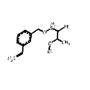 C=Cc1cccc(CO[SiH2]C(CC)C(C)OCC)c1